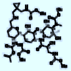 C=C(C)OC(=O)N[C@@H]1CC=C(CNCC2(CNC(=O)OC(C)(C)C)CC2)O[C@@H]1C1[C@@H](NC(=O)OC(C)(C)C)C[C@@H](NC(=O)[C@@H](O)CNC(=O)OC(C)(C)C)[C@H](O[C@H]2OC[C@](C)(O)[C@H](N(C)C(=O)OC(C)(C)C)[C@H]2O)[C@H]1O